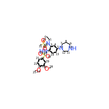 CCN(c1cc(N2CCCNCC2)ccc1NS(=O)(=O)c1ccc(OC)c(OC)c1)S(C)(=O)=O